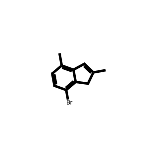 CC1=Cc2c(C)ccc(Br)c2C1